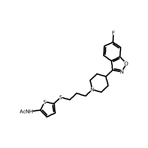 CC(=O)Nc1ccc(SCCCN2CCC(c3noc4cc(F)ccc34)CC2)s1